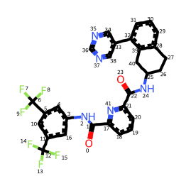 O=C(Nc1cc(C(F)(F)F)cc(C(F)(F)F)c1)c1cccc(C(=O)NC2CCc3cccc(-c4cncnc4)c3C2)n1